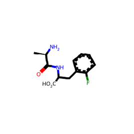 C[C@@H](N)C(=O)NC(Cc1ccccc1F)C(=O)O